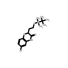 CC(C)(C)[Si](C)(C)OCCC1Oc2ccc(Cl)cc2NC1=O